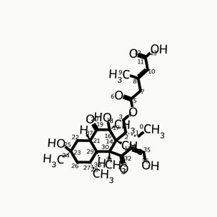 CC[C@@H](COC(=O)C/C(C)=C/C(=O)O)[C@@]1(C)[C@](C)(O)C(=O)[C@H]2C[C@](C)(O)C[C@@H](C)[C@@H]2[C@@]1(C)C(=O)/C=C\O